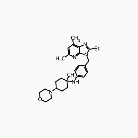 CCc1nc2c(C)cc(C)nc2n1Cc1ccc(N[C@]2(C)CC[C@@H](N3CCOCC3)CC2)cc1